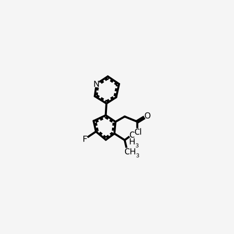 CC(C)c1cc(F)cc(-c2cccnc2)c1CC(=O)Cl